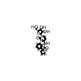 O=C(ONc1ccn([C@@H]2O[C@H](CO)[C@@H](O)[C@H]2O)c(=O)n1)[C@@]1(c2ccccc2)CCCO1